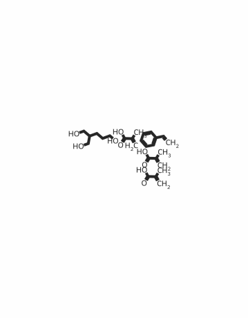 C=C(C)C(=O)O.C=C(C)C(=O)O.C=C(C)C(=O)O.C=Cc1ccccc1.OCCCC(CO)CO